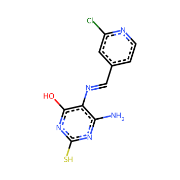 Nc1nc(S)nc(O)c1/N=C/c1ccnc(Cl)c1